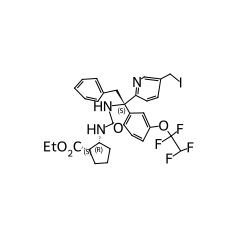 CCOC(=O)[C@H]1CCC[C@H]1NC(=O)N[C@@](Cc1ccccc1)(c1cccc(OC(F)(F)C(F)F)c1)c1ccc(CI)cn1